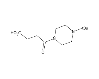 CC(C)(C)N1CCN(C(=O)CCC(=O)O)CC1